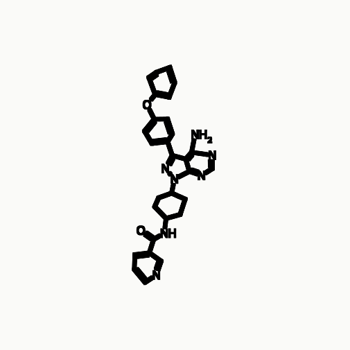 Nc1ncnc2c1c(-c1ccc(Oc3ccccc3)cc1)nn2C1CCC(NC(=O)c2cccnc2)CC1